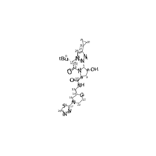 CC(C)(C)[C@@H](C(=O)N1C[C@H](O)C[C@H]1C(=O)NCC1CN(c2nncs2)CCO1)n1cc(C2CC2)nn1